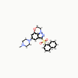 CN1CCN(c2cc3c4c(c2)c(S(=O)(=O)c2cccc5ccccc25)nn4CCO3)CC1